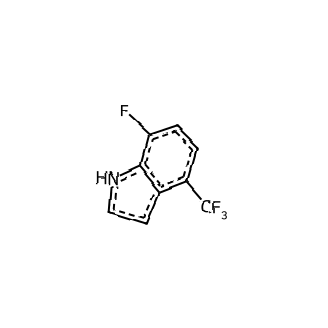 Fc1ccc(C(F)(F)F)c2cc[nH]c12